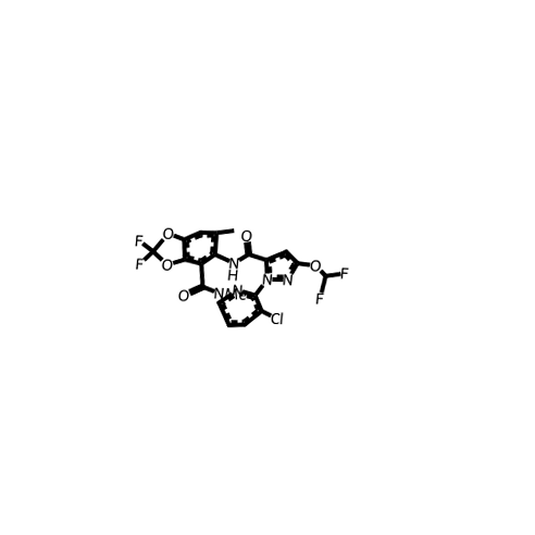 CNC(=O)c1c(NC(=O)c2cc(OC(F)F)nn2-c2ncccc2Cl)c(C)cc2c1OC(F)(F)O2